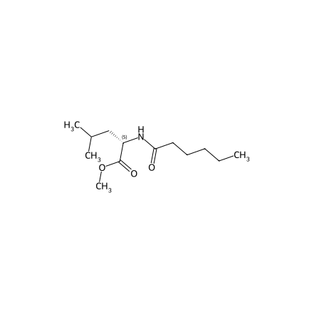 CCCCCC(=O)N[C@@H](CC(C)C)C(=O)OC